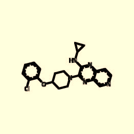 Clc1ccccc1OC1CCN(c2nc3cnccc3nc2NC2CC2)CC1